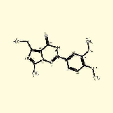 CCc1nc(C)n2nc(-c3ccc(OC)c(OC)c3)[nH]c(=O)c12